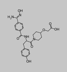 N/C(=N\O)c1ccc(C(=O)NC(Cc2ccc(O)cc2)C(=O)N2CCC(OCC(=O)O)CC2)cc1